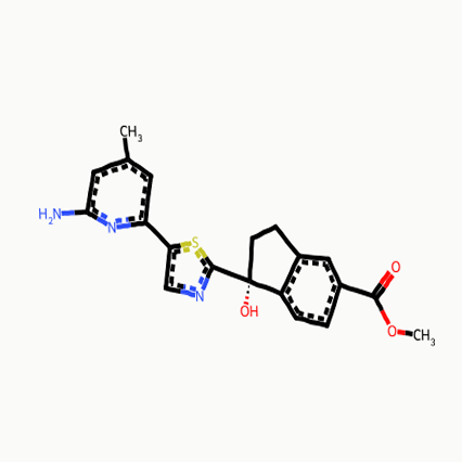 COC(=O)c1ccc2c(c1)CC[C@]2(O)c1ncc(-c2cc(C)cc(N)n2)s1